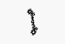 S=C(SSCCOCCSSC(=S)N1CCCCC1)N1CCCCC1